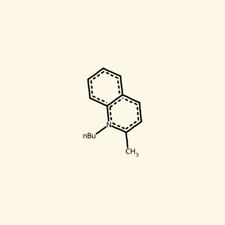 CCCC[n+]1c(C)ccc2ccccc21